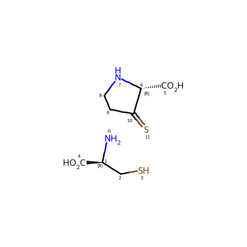 N[C@@H](CS)C(=O)O.O=C(O)[C@H]1NCCC1=S